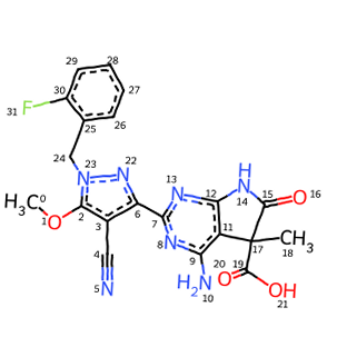 COc1c(C#N)c(-c2nc(N)c3c(n2)NC(=O)C3(C)C(=O)O)nn1Cc1ccccc1F